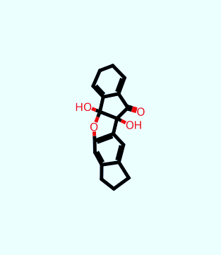 O=C1C2=CCCC=C2C2(O)Oc3cc4c(cc3C12O)CCC4